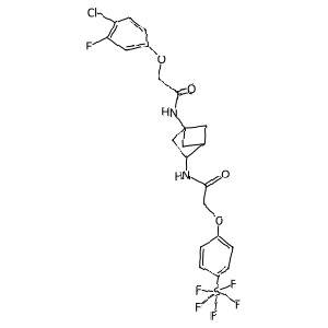 O=C(COc1ccc(S(F)(F)(F)(F)F)cc1)NC1CC2(NC(=O)COc3ccc(Cl)c(F)c3)CC1C2